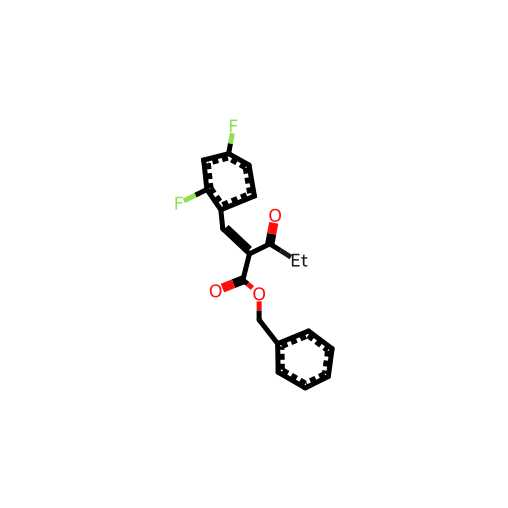 CCC(=O)C(=Cc1ccc(F)cc1F)C(=O)OCc1ccccc1